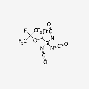 CCC(OC(F)(C(F)(F)F)C(F)(F)F)[Si](N=C=O)(N=C=O)N=C=O